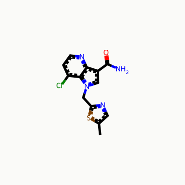 Cc1cnc(Cn2cc(C(N)=O)c3nccc(Cl)c32)s1